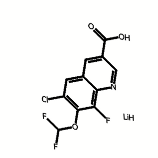 O=C(O)c1cnc2c(F)c(OC(F)F)c(Cl)cc2c1.[LiH]